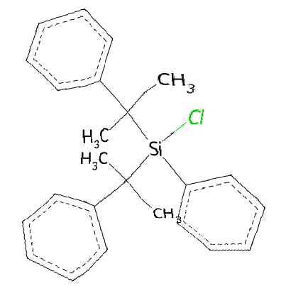 CC(C)(c1ccccc1)[Si](Cl)(c1ccccc1)C(C)(C)c1ccccc1